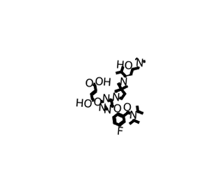 CC(C)[C@@H](C[C@@H](O)CN(C)C)N1CC2(CCN(c3ncnnc3Oc3ccc(F)cc3C(=O)N(C(C)C)C(C)C)C2)C1.O=C(O)/C=C/C(=O)O